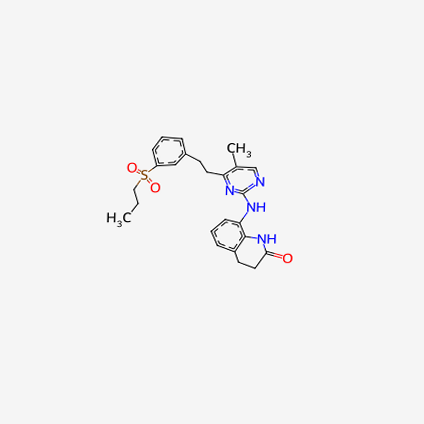 CCCS(=O)(=O)c1cccc(CCc2nc(Nc3cccc4c3NC(=O)CC4)ncc2C)c1